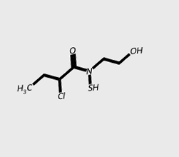 CCC(Cl)C(=O)N(S)CCO